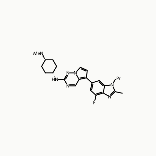 CN[C@H]1CC[C@H](Nc2ncc3c(-c4cc(F)c5nc(C)n(C(C)C)c5c4)ccn3n2)CC1